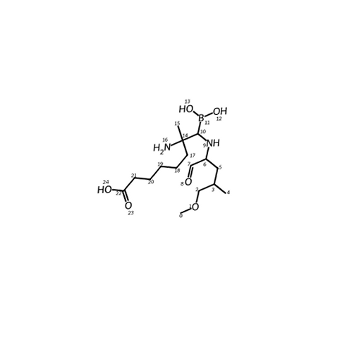 COCC(C)CC(C=O)NC(B(O)O)C(C)(N)CCCCCC(=O)O